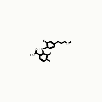 COCCCc1ccc(Nc2c(C(=O)O)ccc(F)c2F)c(F)c1